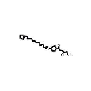 COC(=O)CCC(=O)c1ccc(NCCCCCCCCC/C=C/C2CCCC2)cc1